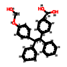 OBOc1ccc(C(=C(c2ccccc2)c2ccc(B(O)O)cc2)c2ccccc2)cc1